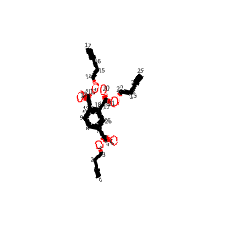 C#CCCOC(=O)c1ccc(C(=O)OCCC#C)c(C(=O)OCCC#C)c1